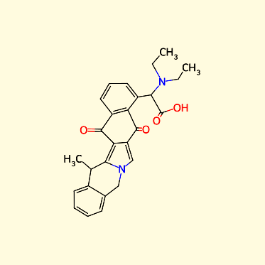 CCN(CC)C(C(=O)O)c1cccc2c1C(=O)c1cn3c(c1C2=O)C(C)c1ccccc1C3